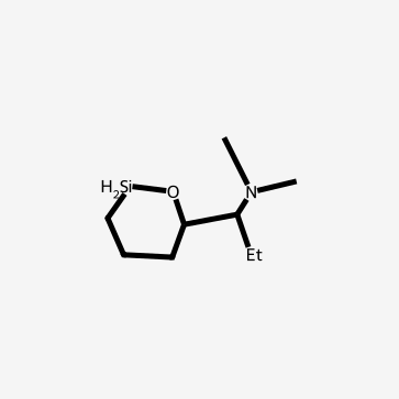 CCC(C1CCC[SiH2]O1)N(C)C